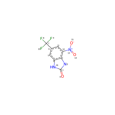 O=C1[N]c2c(cc(C(F)(F)F)cc2[N+](=O)[O-])N1